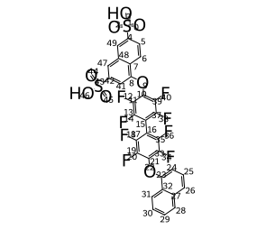 O=S(=O)(O)c1ccc2c(Oc3c(F)c(F)c(-c4c(F)c(F)c(Oc5cccc6ccccc56)c(F)c4F)c(F)c3F)cc(S(=O)(=O)O)cc2c1